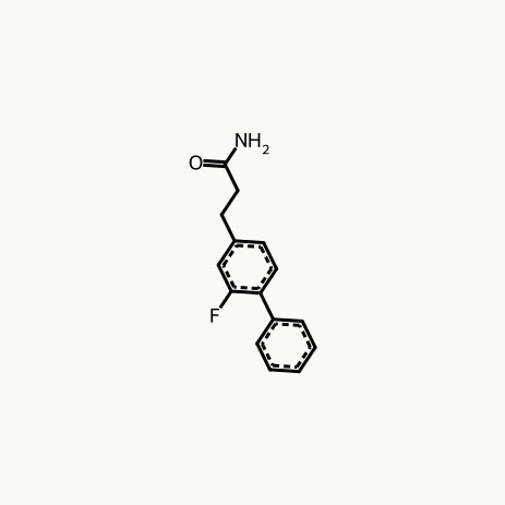 NC(=O)CCc1ccc(-c2ccccc2)c(F)c1